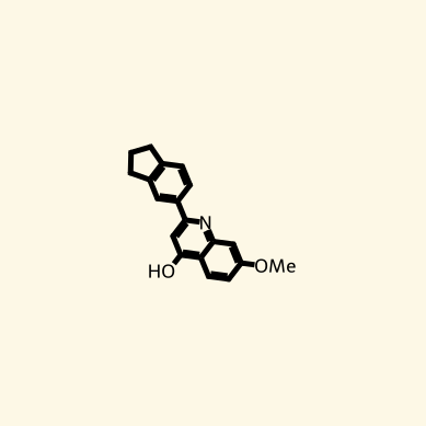 COc1ccc2c(O)cc(-c3ccc4c(c3)CCC4)nc2c1